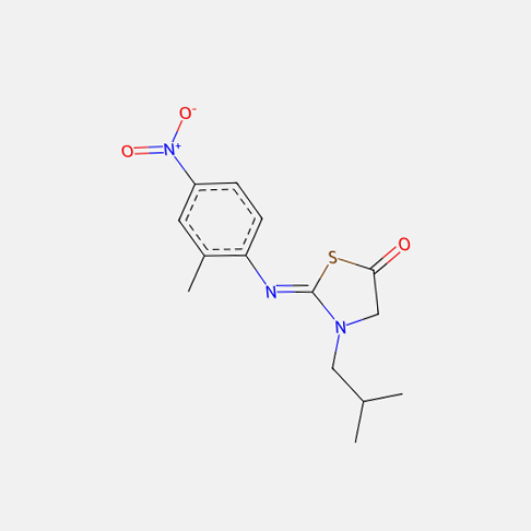 Cc1cc([N+](=O)[O-])ccc1N=C1SC(=O)CN1CC(C)C